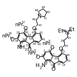 CCCOc1cc(OCCC)c2c(c1N)C(=O)c1cccc(OCCCN(CC)CC)c1-2.CCCOc1cc(OCCC)c2c(c1N)C(=O)c1cccc(OCCN3CCCC3)c1-2